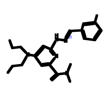 C=C(c1cc(N(CCC)CCC)cc(N/N=C/c2cccc(C)c2)n1)N(C)C